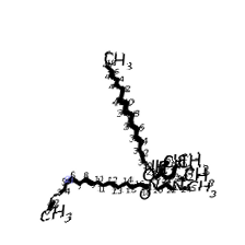 CCCCC/C=C\CC=CCCCCCCCC(=O)N(CCCN(CC)CC)C(ONCCCCCCCCCCCCCCCCCC)C(CC)CCCC